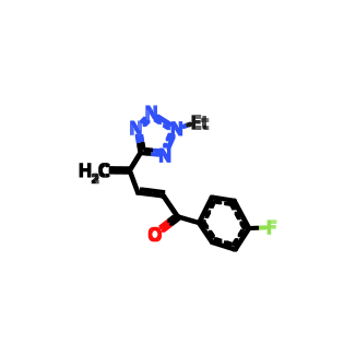 C=C(C=CC(=O)c1ccc(F)cc1)c1nnn(CC)n1